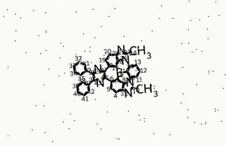 Cc1nc2ccc3c4c2n1-c1cccc2c1B4c1c(ccc4nc(C)n-2c14)-c1nc(-c2ccccc2)c(-c2ccccc2)nc1-3